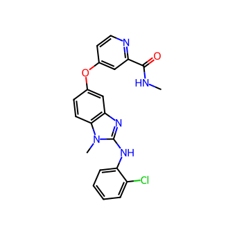 CNC(=O)c1cc(Oc2ccc3c(c2)nc(Nc2ccccc2Cl)n3C)ccn1